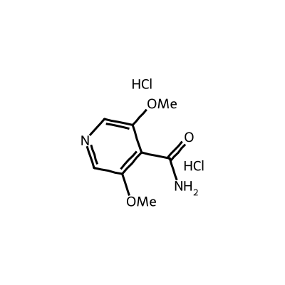 COc1cncc(OC)c1C(N)=O.Cl.Cl